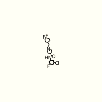 O=C(Nc1cc(F)cc(Cl)c1)C1CCN(CCC2CCC(F)(F)CC2)CC1